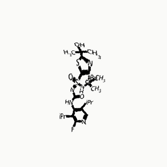 CC(C)c1cnc(F)c(C(C)C)c1NC(=O)N=S(=O)(N[Si](C)(C)C(C)(C)C)c1cnc(C(C)(C)O)s1